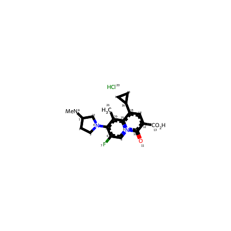 CNC1CCN(c2c(F)cn3c(=O)c(C(=O)O)cc(C4CC4)c3c2C)C1.Cl